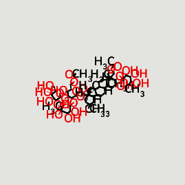 CC(=O)OC[C@H]1O[C@@H](OC(=O)[C@]23CCC(C)(C)C[C@H]2C2=CC[C@@H]4[C@@]5(C)C[C@H](O)[C@H](O[C@@H]6O[C@H](C)[C@H](O)[C@H](O)[C@H]6O)[C@@](C)(COC(C)=O)[C@@H]5CC[C@@]4(C)[C@]2(C)CC3)[C@H](O[C@@H]2O[C@@H](C)[C@H](O)[C@@H](O)[C@H]2O)[C@@H](O[C@@H]2O[C@H](CO)[C@@H](O)[C@H](O)[C@H]2O)[C@@H]1O